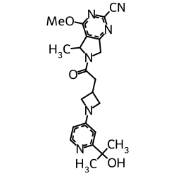 COc1nc(C#N)nc2c1C(C)N(C(=O)CC1CN(c3ccnc(C(C)(C)O)c3)C1)C2